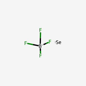 F[B-](F)(F)F.[Se]